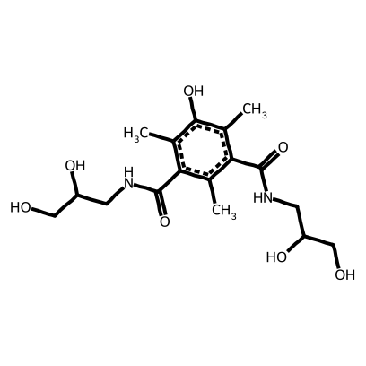 Cc1c(O)c(C)c(C(=O)NCC(O)CO)c(C)c1C(=O)NCC(O)CO